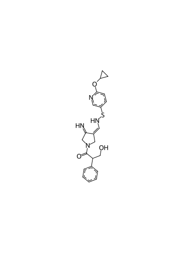 N=C1CN(C(=O)C(CO)c2ccccc2)C/C1=C/NSc1ccc(OC2CC2)nc1